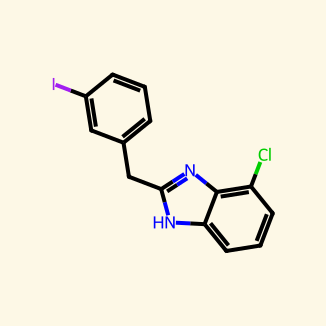 Clc1cccc2[nH]c(Cc3cccc(I)c3)nc12